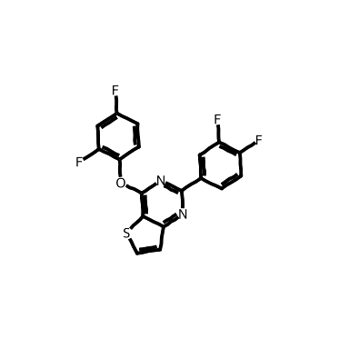 Fc1ccc(Oc2nc(-c3ccc(F)c(F)c3)nc3ccsc23)c(F)c1